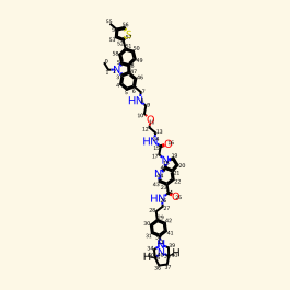 CCn1c2ccc(CNCCOCCNC(=O)Cn3ccc4cc(C(=O)NCCc5ccc(N6C[C@H]7CC[C@@H](C6)N7)cc5)cnc43)cc2c2ccc(-c3cc(C)cs3)cc21